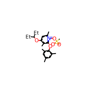 CCC(CC)Oc1cc(C)[n+](OS(C)(=O)=O)c(Oc2c(C)cc(C)cc2C)c1C